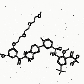 COCCOCCOCCOc1cc(Nc2ncc3cc(-c4cc(C(=O)Nc5cc(C(C)(C)C)cc(NS(C)(=O)=O)c5OC)ccc4C)ccc3n2)cc(OC)c1